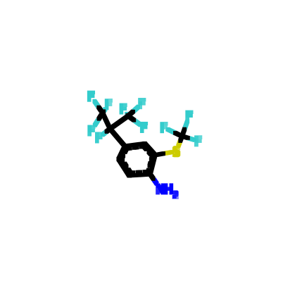 Nc1ccc(C(F)(C(F)(F)F)C(F)(F)F)cc1SC(F)(F)F